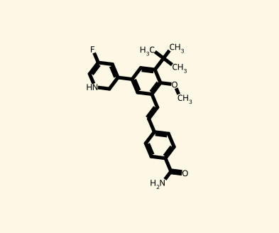 COc1c(C=Cc2ccc(C(N)=O)cc2)cc(C2=CC(F)=CNC2)cc1C(C)(C)C